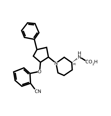 N#Cc1ccccc1OC1CC(c2ccccc2)CC1N1CCC[C@@H](NC(=O)O)C1